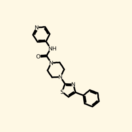 O=C(Nc1ccncc1)N1CCN(c2nc(-c3ccccc3)cs2)CC1